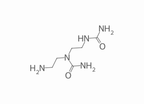 NCCN(CCNC(N)=O)C(N)=O